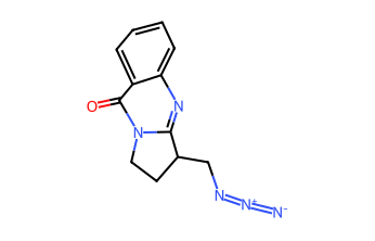 [N-]=[N+]=NCC1CCn2c1nc1ccccc1c2=O